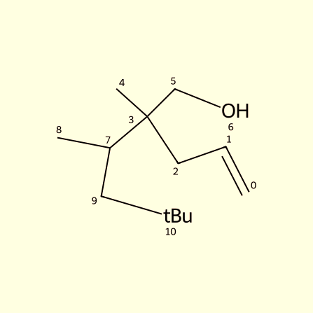 C=CCC(C)(CO)C(C)CC(C)(C)C